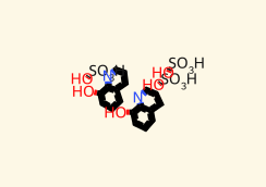 O=S(=O)(O)O.O=S(=O)(O)O.O=S(=O)(O)O.Oc1cccc2cccnc12.Oc1cccc2cccnc12